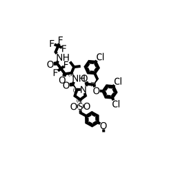 COc1ccc(CS(=O)(=O)[C@@H]2C[C@@H](C(=O)N[C@H](C(=O)C(F)(F)C(=O)NCC(F)(F)F)C(C)C)N(C(=O)[C@@H](Cc3cccc(Cl)c3)Oc3cc(Cl)cc(Cl)c3)C2)cc1